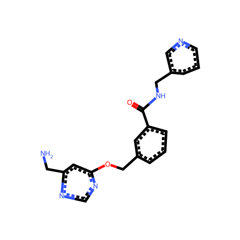 NCc1cc(OCc2cccc(C(=O)NCc3cccnc3)c2)ncn1